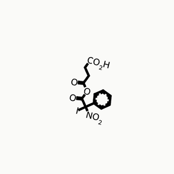 O=C(O)CCC(=O)OC(=O)C(I)(c1ccccc1)[N+](=O)[O-]